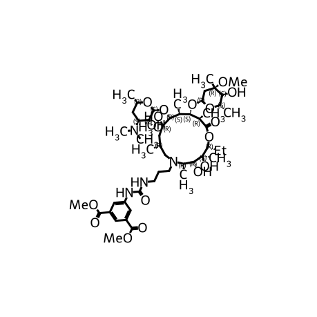 CC[C@H]1OC(=O)[C@H](C)[C@@H](O[C@H]2C[C@@](C)(OC)[C@@H](O)[C@H](C)O2)[C@H](C)[C@@H](O[C@@H]2O[C@H](C)C[C@H](N(C)C)[C@H]2O)[C@](C)(O)C[C@@H](C)CN(CCCNC(=O)Nc2cc(C(=O)OC)cc(C(=O)OC)c2)[C@H](C)[C@@H](O)[C@]1(C)O